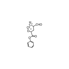 [CH2]C(C=O)CC(OC(F)(F)F)C(=O)Oc1ccccc1